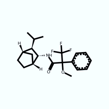 COC(C(=O)N[C@@H]1[C@@H]2CC[C@@H](C2)[C@H]1C(C)C)(c1ccccc1)C(F)(F)F